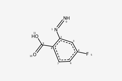 N=Nc1cc(F)ccc1C(=O)O